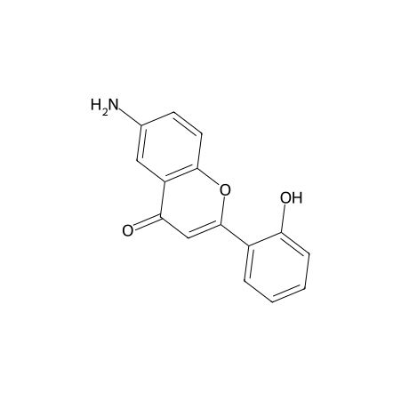 Nc1ccc2oc(-c3ccccc3O)cc(=O)c2c1